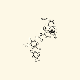 CCCCOC(=O)[C@H](CC(=O)OC1=CC[C@@]2(O)[C@H]3Cc4ccc(OC)c5c4[C@@]2(CCN3C)[C@H]1O5)OC(=O)C[C@@H]1OC(C)(C)OC1=O